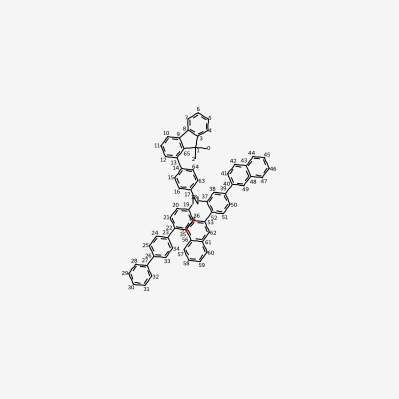 CC1(C)c2ccccc2-c2cccc(-c3ccc(N(c4ccc(-c5ccc(-c6ccccc6)cc5)cc4)c4cc(-c5ccc6ccccc6c5)ccc4-c4ccc5ccccc5c4)cc3)c21